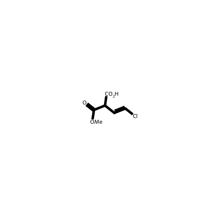 COC(=O)C(C=CCl)C(=O)O